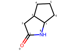 O=C1CC2CCCC2N1